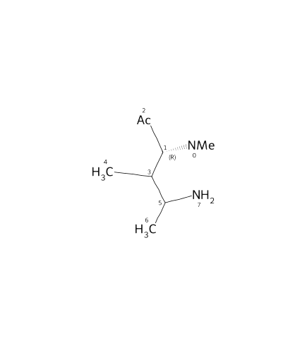 CN[C@@H](C(C)=O)C(C)C(C)N